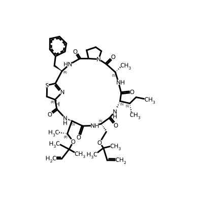 C=CC(C)(C)OC[C@@H]1NC(=O)[C@H]([C@@H](C)OC(C)(C)C=C)NC(=O)[C@@H]2CSC(=N2)[C@@H](Cc2ccccc2)NC(=O)C2CCCN2C(=O)[C@H](C)NC(=O)[C@H]([C@@H](C)CC)NC1=O